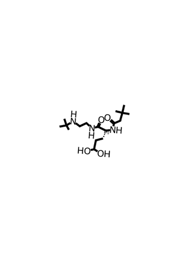 CC(C)(C)CC(=O)N[C@H](CCC(O)O)C(=O)NCCNC(C)(C)C